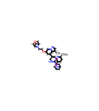 COc1ccc(CN2C3CC2CN(C2=NC=C(c4cc(OCCN5C6COCC5C6)cn5ncc(C#N)c45)CN2)C3)cn1